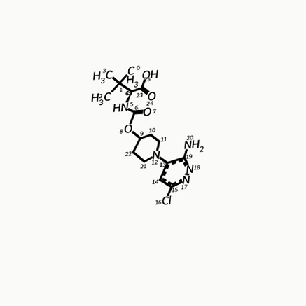 CC(C)(C)[C@H](NC(=O)OC1CCN(c2cc(Cl)nnc2N)CC1)C(=O)O